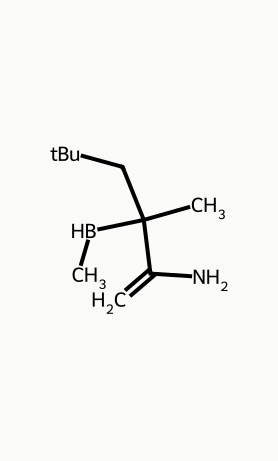 C=C(N)C(C)(BC)CC(C)(C)C